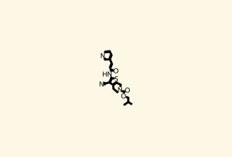 CC(C)COC(=O)N1CCc2c(sc(NC(=O)C=Cc3cccnc3)c2C#N)C1